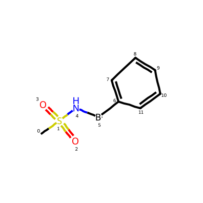 CS(=O)(=O)N[B]c1ccccc1